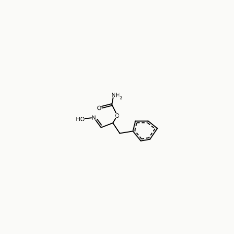 NC(=O)OC(C=NO)Cc1ccccc1